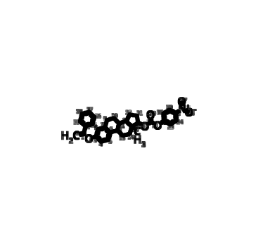 C=C(Oc1ccc2c(c1)CCC1C2CCC2(C)C(OC(=O)Oc3ccc([N+](=O)[O-])cc3)CCC12)c1ccccc1